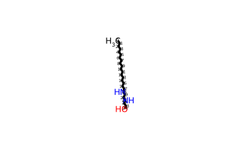 CCCCCCCCCCCCCCCCCCNCCNCCO